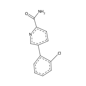 NC(=O)c1ccc(-c2ccccc2Cl)cn1